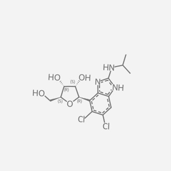 CC(C)Nc1nc2c([C@H]3O[C@@H](CO)[C@H](O)[C@@H]3O)c(Cl)c(Cl)cc2[nH]1